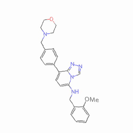 COc1ccccc1CNc1ccc(-c2ccc(CN3CCOCC3)cc2)c2nncn12